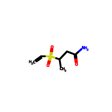 C=CS(=O)(=O)C(C)CC(N)=O